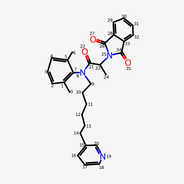 Cc1cccc(C)c1N(CCCCCCc1cccnc1)C(=O)C(C)N1C(=O)c2ccccc2C1=O